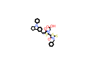 O=C(O)Cn1c(=O)/c(=C\c2ccc3c(c2)C2CCCC2N3c2ccccc2)s/c1=C1/SC(=S)N(Cc2ccccc2)C1=O